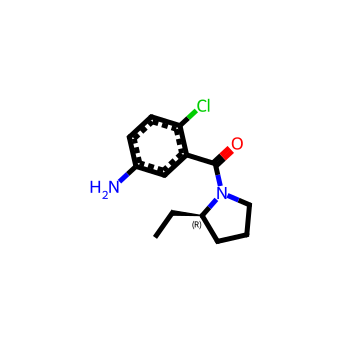 CC[C@@H]1CCCN1C(=O)c1cc(N)ccc1Cl